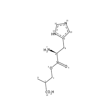 CC(COC(=O)[C@@H](N)Cc1cnc[nH]1)C(=O)O